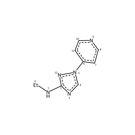 CCNc1ncn(-c2ccncc2)n1